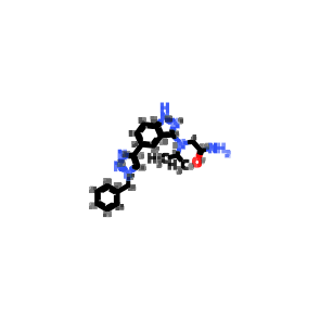 CC(C)N(CC(N)=O)c1n[nH]c2ccc(-c3cn(Cc4ccccc4)nn3)cc12